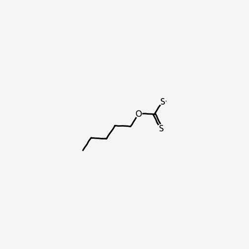 CCCCCOC([S])=S